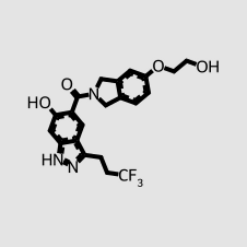 O=C(c1cc2c(CCC(F)(F)F)n[nH]c2cc1O)N1Cc2ccc(OCCO)cc2C1